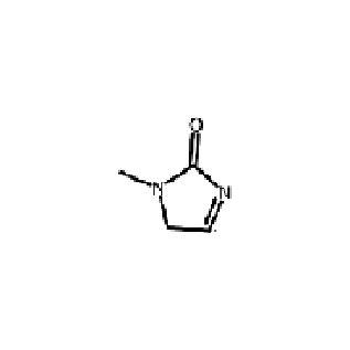 CN1C[C]=NC1=O